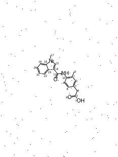 Cc1cc(CC(=O)O)ccc1NC(=O)c1cn(C)c2ccccc12